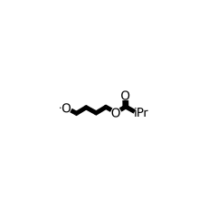 CC(C)C(=O)OCCCC[O]